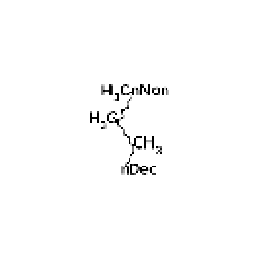 CCCCCCCCCCCCCCC(C)CCCCCC(C)CCCCCC(C)CCCCCCCCC